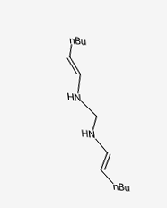 CCCCC=CNCNC=CCCCC